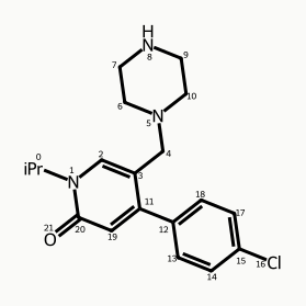 CC(C)n1cc(CN2CCNCC2)c(-c2ccc(Cl)cc2)cc1=O